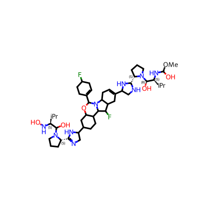 COC(O)N[C@@H](C(C)C)[C@@H](O)N1CCC[C@H]1C1NCC(C2=CCC3C(C2)C(F)C2C4CCC(C5CN=C([C@@H]6CCCN6C(O)[C@@H](NO)C(C)C)N5)CC4OC(C4=CCC(F)CC4)N32)N1